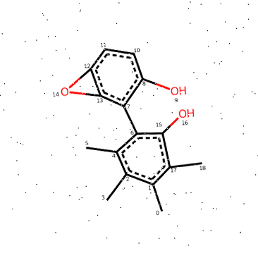 Cc1c(C)c(C)c(-c2c(O)ccc3c2O3)c(O)c1C